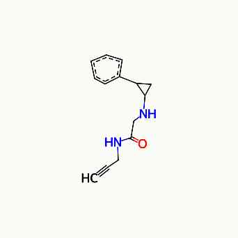 C#CCNC(=O)CNC1CC1c1ccccc1